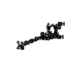 CCN1CCN(CC(=O)O)CCN(CC(=O)O)CCN(C(CCC(=O)NCCOCCOCCOCCC(=O)C(C)C)C(=O)O)CC1